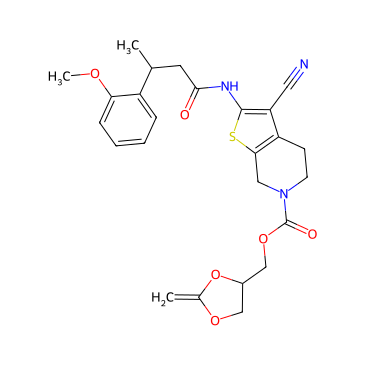 C=C1OCC(COC(=O)N2CCc3c(sc(NC(=O)CC(C)c4ccccc4OC)c3C#N)C2)O1